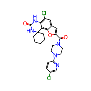 O=C1Nc2c(Cl)cc3cc(C(=O)N4CCN(c5ccc(Cl)cn5)CC4)oc3c2C2(CCCCC2)N1